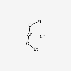 CC[O][Al+][O]CC.[Cl-]